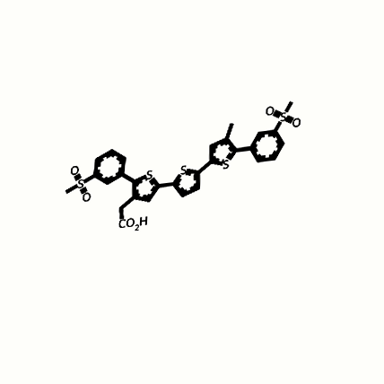 Cc1cc(-c2ccc(-c3cc(CC(=O)O)c(-c4cccc(S(C)(=O)=O)c4)s3)s2)sc1-c1cccc(S(C)(=O)=O)c1